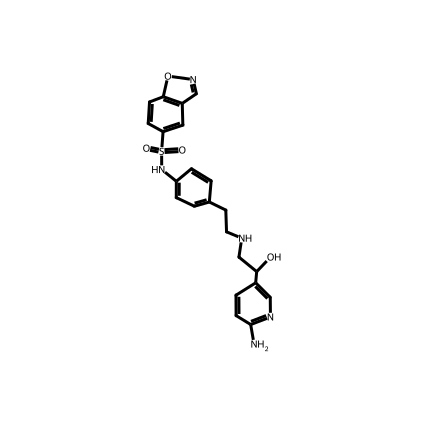 Nc1ccc(C(O)CNCCc2ccc(NS(=O)(=O)c3ccc4oncc4c3)cc2)cn1